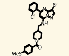 CSc1ccc(C(=O)N2CCC(CNc3cc(-c4ccccc4Cl)nc4c(Br)cnn34)CC2)cc1